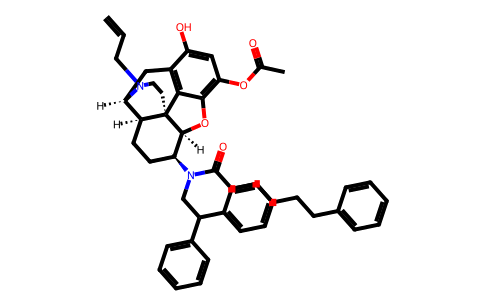 C=CCN1CC[C@]23c4c5c(O)cc(OC(C)=O)c4O[C@H]2[C@@H](N(CC(c2ccccc2)c2ccccc2)C(=O)CCCCCc2ccccc2)CC[C@H]3[C@H]1C5